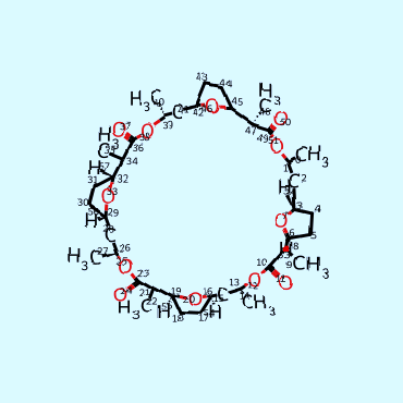 CC1C[C@@H]2CC[C@@H](O2)[C@@H](C)C(=O)O[C@H](C)C[C@H]2CC[C@H](O2)C(C)C(=O)O[C@@H](C)C[C@@H]2CC[C@@H](O2)C(C)C(=O)O[C@H](C)CC2CCC(O2)[C@H](C)C(=O)O1